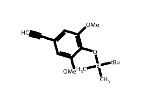 C#Cc1cc(OC)c(O[Si](C)(C)C(C)(C)C)c(OC)c1